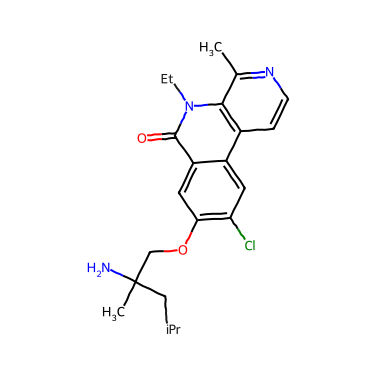 CCn1c(=O)c2cc(OCC(C)(N)CC(C)C)c(Cl)cc2c2ccnc(C)c21